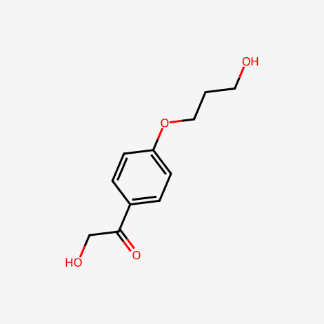 O=C(CO)c1ccc(OCCCO)cc1